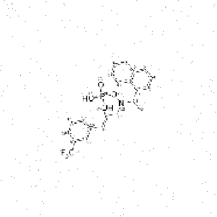 CC(c1cccc2ccccc12)N(CC=Cc1cccc(C(F)(F)F)c1)OP(=O)(O)O